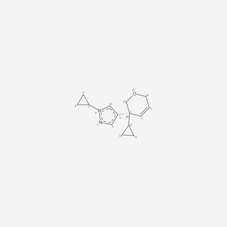 [C]1=C[C@@](c2cnn(C3CC3)c2)(C2CC2)COC1